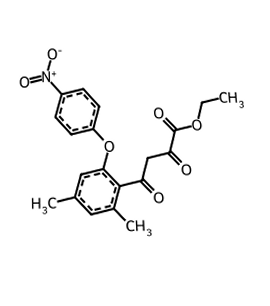 CCOC(=O)C(=O)CC(=O)c1c(C)cc(C)cc1Oc1ccc([N+](=O)[O-])cc1